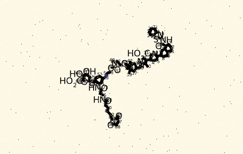 Cc1c(-c2ccc(-c3ccc4cccc(C(=O)Nc5nc6ccccc6s5)c4c3)nc2C(=O)O)cnn1CC12CC3(C)CC(C)(C1)C(OCCN(C)C(=O)OC/C=C/c1ccc(O[C@H]4C[C@@H](O)[C@H](O)[C@@H](C(=O)O)O4)c(NC(=O)CCNC(=O)CCCCCN4C(=O)C=CC4=O)c1)(C3)C2